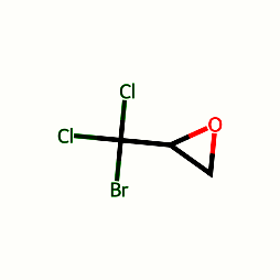 ClC(Cl)(Br)C1CO1